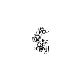 CCOC(=O)C(C)(C)Oc1ccn2c(-c3cc(OC)c(C(=O)NC4CC4)c(OC(F)F)c3)cnc2c1